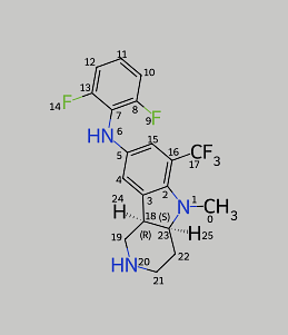 CN1c2c(cc(Nc3c(F)cccc3F)cc2C(F)(F)F)[C@@H]2CNCC[C@@H]21